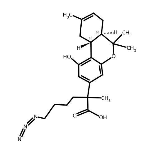 CC1=CC[C@@H]2[C@@H](C1)c1c(O)cc(C(C)(CCCCN=[N+]=[N-])C(=O)O)cc1OC2(C)C